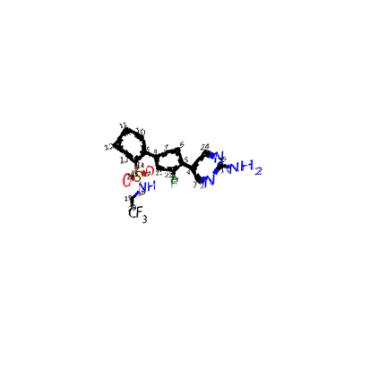 Nc1ncc(-c2ccc(-c3ccccc3S(=O)(=O)NCC(F)(F)F)cc2F)cn1